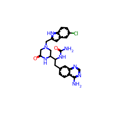 NC(=O)NC(Cc1ccc2c(N)ncnc2c1)C1CN(Cc2cc3cc(Cl)ccc3[nH]2)CC(=O)N1